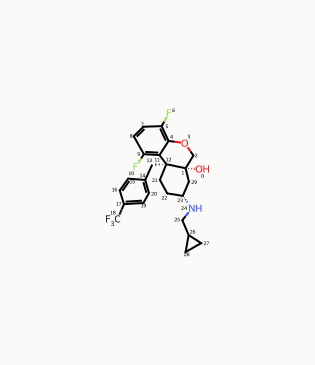 O[C@@]12COc3c(F)ccc(F)c3[C@]1(Cc1ccc(C(F)(F)F)cc1)CC[C@@H](NCC1CC1)C2